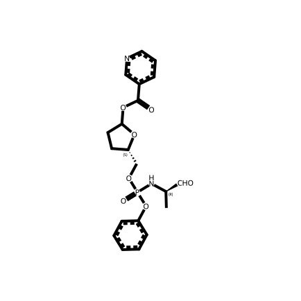 C[C@H](C=O)NP(=O)(OC[C@@H]1CCC(OC(=O)c2cccnc2)O1)Oc1ccccc1